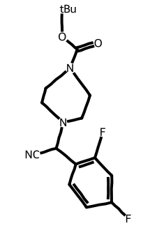 CC(C)(C)OC(=O)N1CCN(C(C#N)c2ccc(F)cc2F)CC1